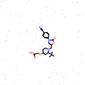 CC(C)(C)C1CC(OCC(=O)O)CCN1CC1CN(c2ccc(C#N)cc2)C(=O)O1